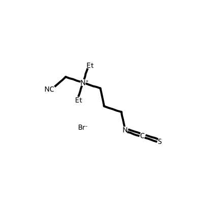 CC[N+](CC)(CC#N)CCCN=C=S.[Br-]